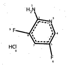 Cl.Nc1ncc(F)cc1F